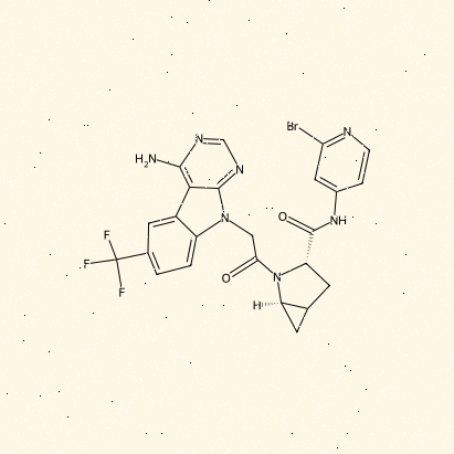 Nc1ncnc2c1c1cc(C(F)(F)F)ccc1n2CC(=O)N1[C@@H]2CC2C[C@H]1C(=O)Nc1ccnc(Br)c1